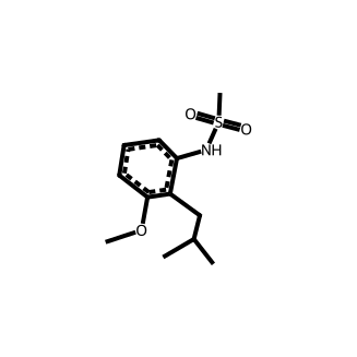 COc1cccc(NS(C)(=O)=O)c1CC(C)C